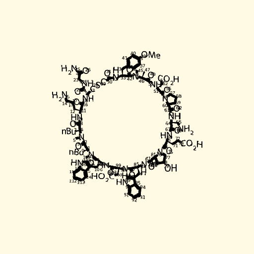 CCCC[C@H]1C(=O)N(C)[C@@H](CCCC)C(=O)N[C@@H](CCCN)C(=O)N[C@H](C(=O)NCC(N)=O)CSCC(=O)N[C@@H](Cc2ccc(OC)cc2)C(=O)N(C)[C@@H](C)C(=O)N[C@@H](CC(=O)O)C(=O)N2CCCC2C(=O)N[C@@H](CN)C(=O)N[C@@H](CCC(=O)O)C(=O)N2C[C@H](O)C[C@H]2C(=O)N[C@@H](Cc2c[nH]c3ccccc23)C(=O)N[C@@H](CC(=O)O)C(=O)N[C@@H](Cc2c[nH]c3ccccc23)C(=O)N1C